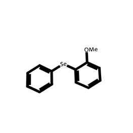 COc1ccccc1[Se]c1ccccc1